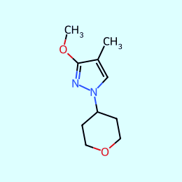 COc1nn(C2CCOCC2)cc1C